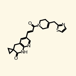 O=C(C=Cc1cnc2c(c1)CC1(CC1)C(=O)N2)N1CC=C(Cc2nccs2)CC1